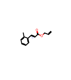 C=CCOC(=O)/C=C/c1ccccc1C